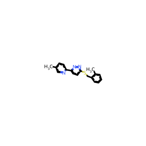 Cc1ccc(-c2ccc(SCc3ccccc3C)nn2)nc1